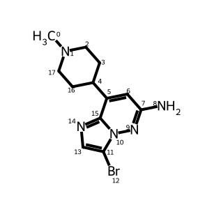 CN1CCC(c2cc(N)nn3c(Br)cnc23)CC1